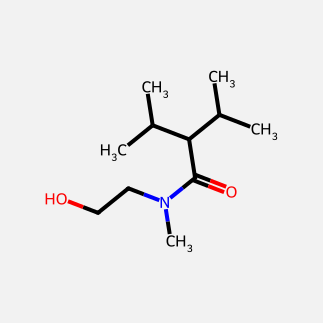 CC(C)C(C(=O)N(C)CCO)C(C)C